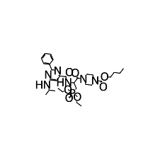 CCCCOC(=O)N1CCN(C(=O)C(CP(=O)(OCC)OCC)NC(=O)c2cc(NC(C)C)nc(-c3ccccc3)n2)CC1